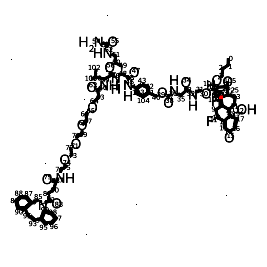 CCCC1O[C@@H]2CC3[C@@H]4C[C@H](F)C5=CC(=O)C=C[C@]5(C)C4[C@@H](O)C[C@]3(C)[C@]2(C(=O)COCNC(=O)CNC(=O)OCc2ccc(NC(=O)[C@H](CCCNC(N)=O)NC(=O)[C@@H](NC(=O)CCOCCOCCOCCOCCNC(=O)CCC(=O)N3Cc4ccccc4/C=C\c4ccccc43)C(C)C)cc2)O1